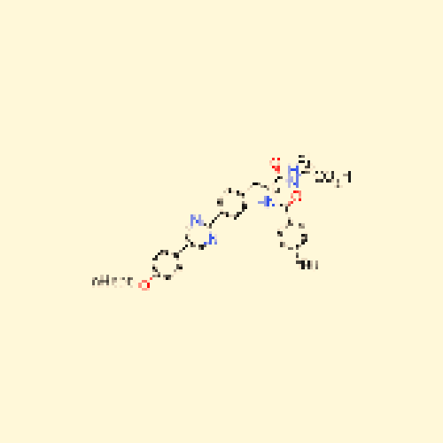 CCCCCCCOc1ccc(-c2cnc(-c3ccc(C[C@H](NC(=O)c4ccc(C(C)(C)C)cc4)C(=O)N[C@H](CC)C(=O)O)cc3)nc2)cc1